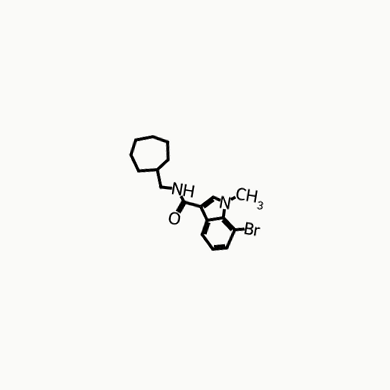 Cn1cc(C(=O)NCC2CCCCCC2)c2cccc(Br)c21